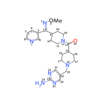 CON=C(c1cccnc1)C1CCN(C(=O)C2CCN(Cc3cnc(N)nc3)CC2)CC1